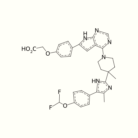 Cc1nc(C2(C)CCN(c3ncnc4[nH]c(-c5ccc(OCC(=O)O)cc5)cc34)CC2)[nH]c1-c1ccc(OC(F)F)cc1